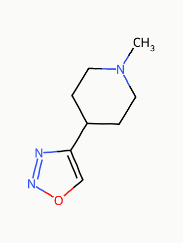 CN1CCC(c2conn2)CC1